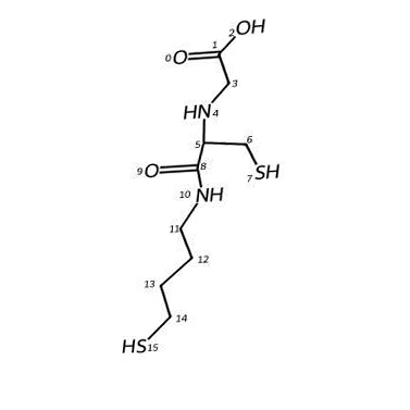 O=C(O)CNC(CS)C(=O)NCCCCS